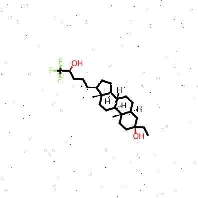 CC[C@]1(O)CC[C@@]2(C)[C@@H](CC[C@@H]3[C@@H]2CC[C@]2(C)[C@@H](CCC[C@H](O)C(F)(F)F)CC[C@@H]32)C1